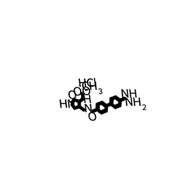 COC(=O)CC1C(=O)NCC1CNC(=O)c1ccc(-c2ccc(C(=N)N)cc2)cc1.Cl